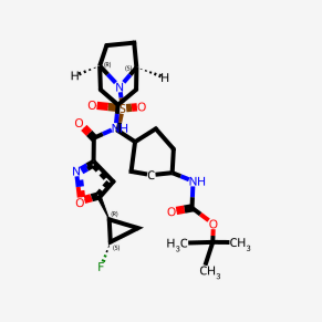 CC(C)(C)OC(=O)NC1CCC(CS(=O)(=O)N2[C@@H]3CC[C@H]2CC(NC(=O)c2cc([C@H]4C[C@@H]4F)on2)C3)CC1